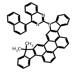 CC1(C)c2ccccc2-c2c1cc1c3cc4c(c5cccc(c6cccc2c61)c35)c1ccccc1n4-c1nc(-c2cccc3ccccc23)c2ccccc2n1